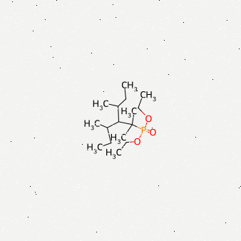 CCOP(=O)(OCC)C(C)(C)C(C(C)CC)C(C)CC